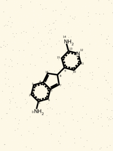 Nc1ccc2c(c1)=CC(c1ccnc(N)c1)C=2